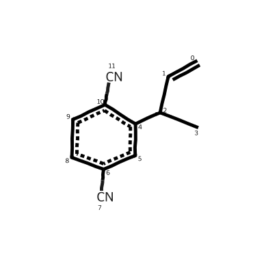 C=C[C](C)c1cc(C#N)ccc1C#N